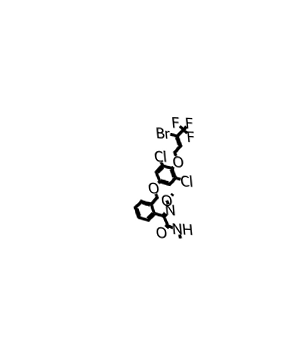 CNC(=O)/C(=N/OC)c1ccccc1COc1cc(Cl)c(OCC=C(Br)C(F)(F)F)c(Cl)c1